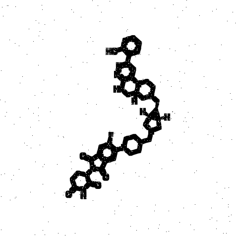 O=C1CCC(N2C(=O)c3cc(F)c(N4CCC(CN5C[C@@H]6[C@H](C5)[C@H]6CN5CCN6c7cc(-c8ccccc8O)nnc7NC[C@H]6C5)CC4)cc3C2=O)C(=O)N1